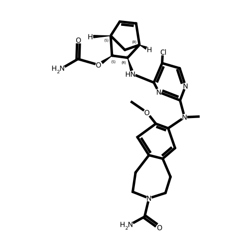 COc1cc2c(cc1N(C)c1ncc(Cl)c(N[C@H]3[C@@H](OC(N)=O)[C@@H]4C=C[C@H]3C4)n1)CCN(C(N)=O)CC2